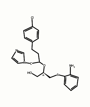 Nc1ccccc1SC[C@@H](CO)OC(CCc1ccc(Cl)cc1)Cn1ccnc1